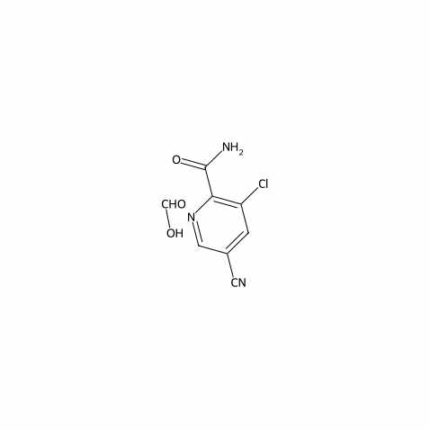 N#Cc1cnc(C(N)=O)c(Cl)c1.O=CO